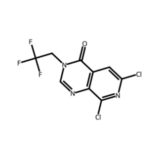 O=c1c2cc(Cl)nc(Cl)c2ncn1CC(F)(F)F